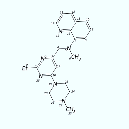 CCc1nc(CN(C)c2cccc3cccnc23)cc(N2CCN(C)CC2)n1